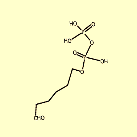 O=CCCCCCOP(=O)(O)OP(=O)(O)O